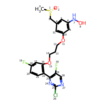 C[S+]([O-])Cc1cc(NO)cc(OCCCOc2cc(F)ccc2-c2nc(Cl)ncc2F)c1